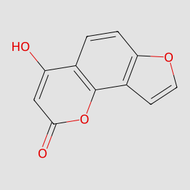 O=c1cc(O)c2ccc3occc3c2o1